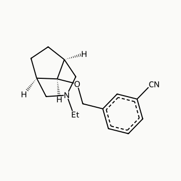 CCN1C[C@H]2CC[C@@H](C1)[C@H]2OCc1cccc(C#N)c1